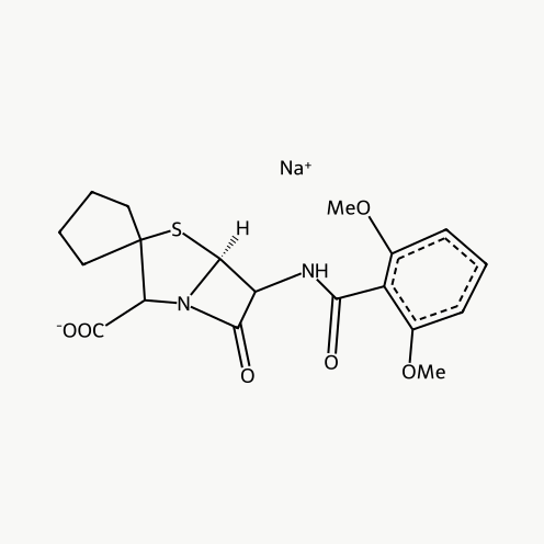 COc1cccc(OC)c1C(=O)NC1C(=O)N2C(C(=O)[O-])C3(CCCC3)S[C@@H]12.[Na+]